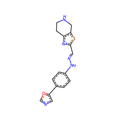 C(=NNc1ccc(-c2cnco2)cc1)c1nc2c(s1)CNCC2